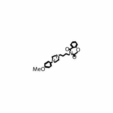 COc1ccc(N2CCN(CCCCN3C(=O)COc4ccccc4C3=O)CC2)cc1